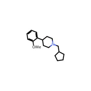 COc1ccccc1C1CCN(CC2CCCC2)CC1